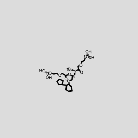 CC(C)(C)N(C[C@@H](COc1ccccc1C1CCCC1)OC(=O)COCCON(O)O)C(=O)COCCON(O)O